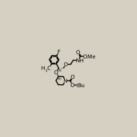 COC(=O)NCCOC[C@H](O[C@@H]1CCCN(C(=O)OC(C)(C)C)C1)c1cc(F)ccc1C